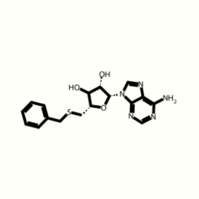 Nc1ncnc2c1ncn2[C@@H]1O[C@H](CSCc2ccccc2)C(O)[C@@H]1O